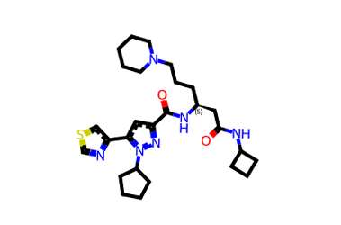 O=C(C[C@H](CCCN1CCCCC1)NC(=O)c1cc(-c2cscn2)n(C2CCCC2)n1)NC1CCC1